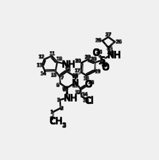 CCCCN[C@H]1Cc2c([nH]c3ccccc23)[C@H](c2ccc(S(=O)(=O)NC3CCC3)cc2)N1C(=O)CCl